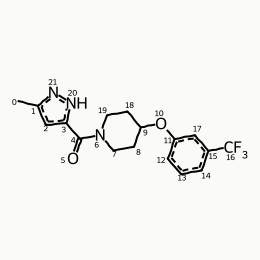 Cc1cc(C(=O)N2CCC(Oc3cccc(C(F)(F)F)c3)CC2)[nH]n1